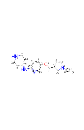 CN1CCC(COc2ccc(NC3CCNCC3)nc2)C1